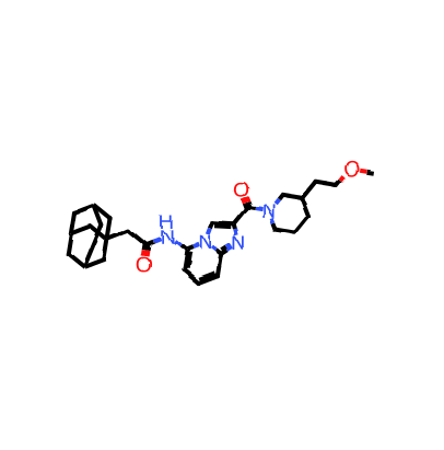 COCCC1CCCN(C(=O)c2cn3c(NC(=O)CC45CC6CC(CC(C6)C4)C5)cccc3n2)C1